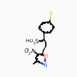 Cc1noc(CC(c2ccc(F)cc2)S(=O)(=O)O)c1[N+](=O)[O-]